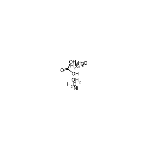 O.O.O.O.O.O=C(O)O.[Ni]